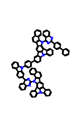 c1ccc(-c2ccc(-c3nc(-n4c5c6ccccc6ccc5c5cc6c7cc(-c8ccc(-n9c%10ccccc%10c%10ccc(-c%11nc(-n%12c%13c%14ccccc%14ccc%13c%13cc%14c%15ccccc%15n%15c%16ccccc%16c(c%13%12)c%14%15)nc%12ccccc%11%12)cc%109)cc8)ccc7n7c8ccccc8c(c54)c67)c4ccccc4n3)cc2)cc1